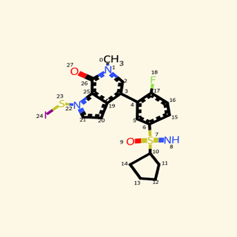 Cn1cc(-c2cc(S(=N)(=O)C3CCCC3)ccc2F)c2ccn(SI)c2c1=O